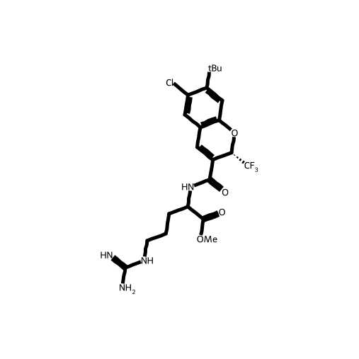 COC(=O)C(CCCNC(=N)N)NC(=O)C1=Cc2cc(Cl)c(C(C)(C)C)cc2O[C@@H]1C(F)(F)F